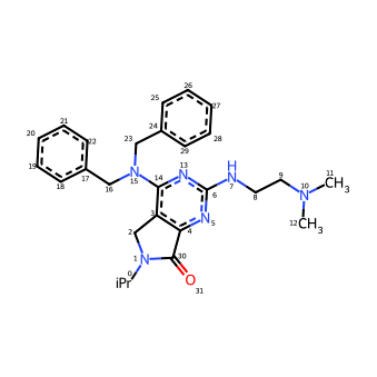 CC(C)N1Cc2c(nc(NCCN(C)C)nc2N(Cc2ccccc2)Cc2ccccc2)C1=O